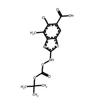 Cc1c(Cl)c(C(=O)O)cc2sc(NOC(=O)OC(C)(C)C)nc12